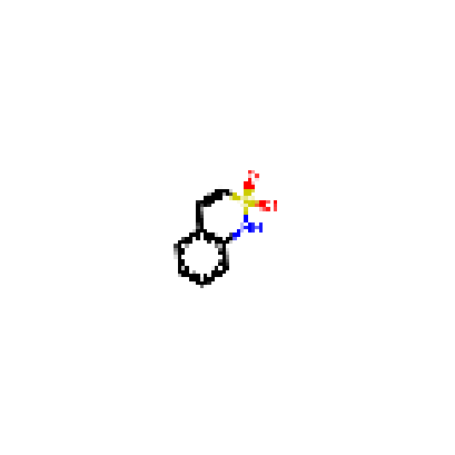 O=S1(=O)C=[C]c2ccccc2N1